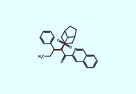 CCCCS(=O)(=O)N1C2CCC1CC(N(Cc1ccccc1)C(=O)c1cc3ccccc3cn1)C2